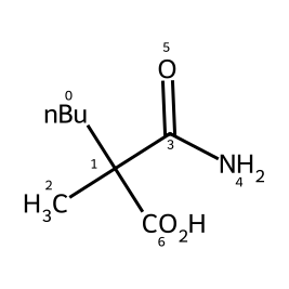 CCCCC(C)(C(N)=O)C(=O)O